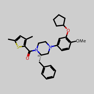 COc1ccc(N2CCN(C(=O)c3sc(C)cc3C)[C@@H](Cc3ccccc3)C2)cc1OC1CCCC1